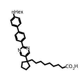 CCCCCCc1ccc(-c2ccc(-c3ncc(C4(CCCCCCCCC(=O)O)CCCC4)cn3)cc2)cc1